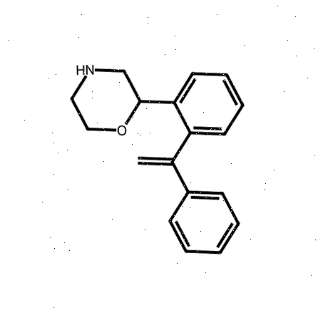 C=C(c1ccccc1)c1ccccc1C1CNCCO1